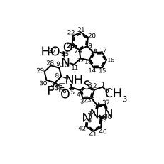 CCc1sc(C(=O)N[C@@H]2[C@@H](N(CC3c4ccccc4-c4ccccc43)C(=O)O)CCCC2(F)F)cc1-c1cnc2cccnn12